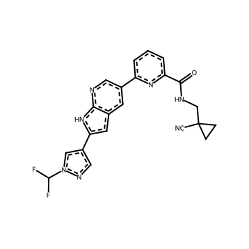 N#CC1(CNC(=O)c2cccc(-c3cnc4[nH]c(-c5cnn(C(F)F)c5)cc4c3)n2)CC1